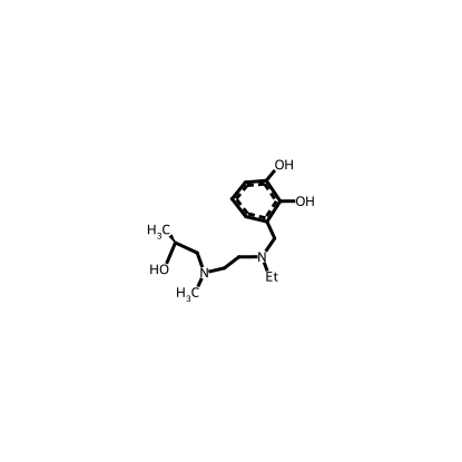 CCN(CCN(C)C[C@H](C)O)Cc1cccc(O)c1O